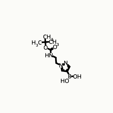 CC(C)(C)OC(=O)NCCn1cc(B(O)O)cn1